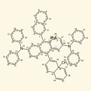 C=c1c(-c2ccc3ccccc3c2)c2cc(N(c3ccccc3)c3ccccc3)ccc2c(C2=CC3(C)C=CC=CC3C=C2)/c1=C/C(=C\C)N(c1ccccc1)c1ccccc1